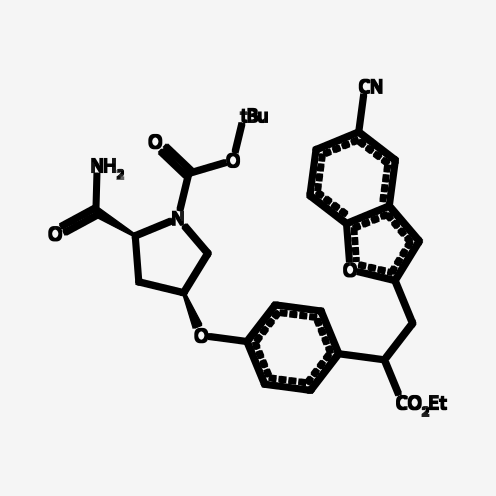 CCOC(=O)C(Cc1cc2cc(C#N)ccc2o1)c1ccc(O[C@H]2C[C@@H](C(N)=O)N(C(=O)OC(C)(C)C)C2)cc1